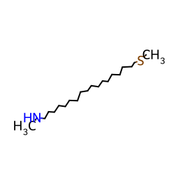 CNCCCCCCCCCCCCCCCCCCSC